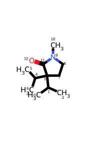 CC(C)C1(C(C)C)CCN(C)C1=O